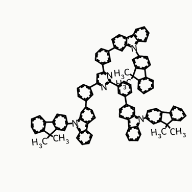 CC1(C)c2ccccc2-c2ccc(-n3c4ccccc4c4ccc(-c5cccc(-c6cc(-c7cccc(-c8ccc9c%10ccccc%10n(-c%10ccc%11c(c%10)C(C)(C)c%10ccccc%10-%11)c9c8)c7)nc(-c7cccc(-c8ccc9c%10ccccc%10n(-c%10ccc%11c(c%10)C(C)(C)c%10ccccc%10-%11)c9c8)c7)n6)c5)cc43)cc21